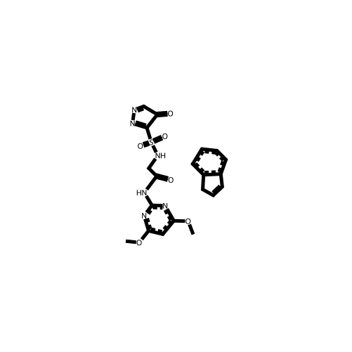 C1=Cc2ccccc2C1.COc1cc(OC)nc(NC(=O)CNS(=O)(=O)C2=NN=CC2=O)n1